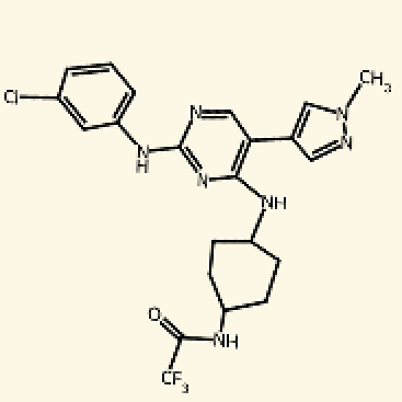 Cn1cc(-c2cnc(Nc3cccc(Cl)c3)nc2NC2CCC(NC(=O)C(F)(F)F)CC2)cn1